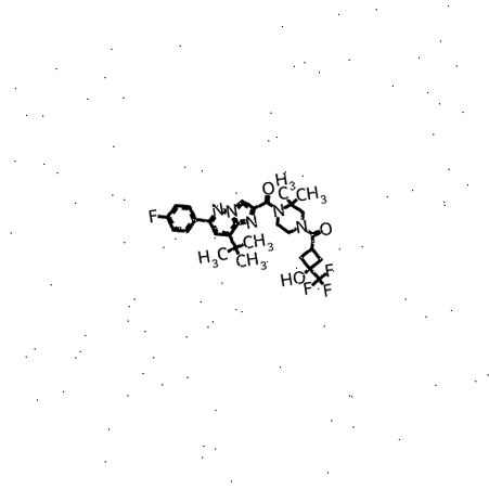 CC(C)(C)c1cc(-c2ccc(F)cc2)nn2cc(C(=O)N3CCN(C(=O)C4CC(O)(C(F)(F)F)C4)CC3(C)C)nc12